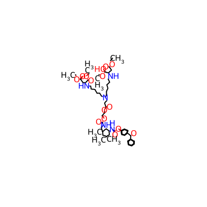 CCOC(=O)CC(NCCCCCCN(CCCCCCNC(CC(=O)OCC)C(O)OCC)CCC(=O)OCCOC(=O)NCC1(C)CC(NC(=O)Oc2ccc(C(=O)c3ccccc3)cc2)CC(C)(C)C1)C(=O)OCC